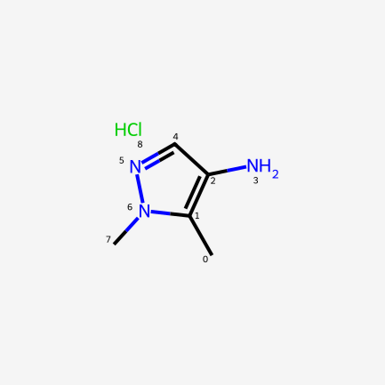 Cc1c(N)cnn1C.Cl